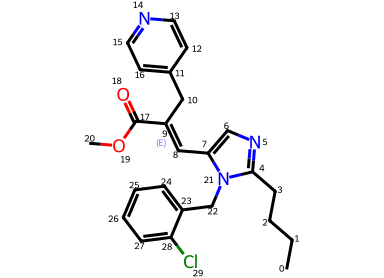 CCCCc1ncc(/C=C(\Cc2ccncc2)C(=O)OC)n1Cc1ccccc1Cl